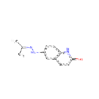 CC(C)=NNc1ccc2[nH]c(=O)ccc2c1